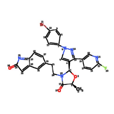 C[C@@H]1O[C@H](c2cn(-c3ccc(Br)cc3)nc2-c2ccc(F)nc2)N(CCc2ccc3c(c2)=CC(=O)N=3)C1=O